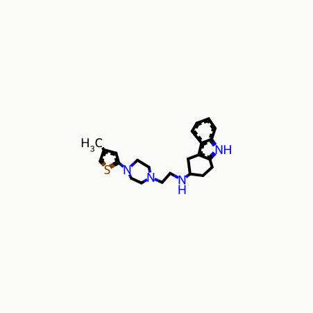 Cc1csc(N2CCN(CCNC3CCc4[nH]c5ccccc5c4C3)CC2)c1